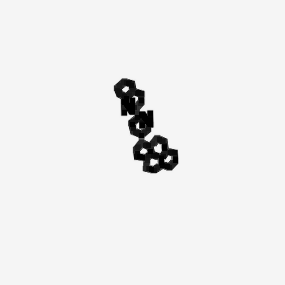 c1ccc2nc(-c3ccc(-c4ccc5ccc6cccc7ccc4c5c67)cn3)ccc2c1